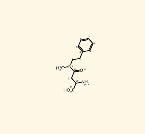 CN(CCc1ccccc1)C(=O)CC(N)C(=O)O